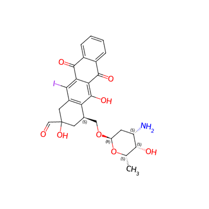 C[C@@H]1O[C@@H](OC[C@H]2CC(O)(C=O)Cc3c(I)c4c(c(O)c32)C(=O)c2ccccc2C4=O)C[C@H](N)[C@@H]1O